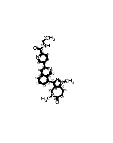 CCNC(=O)c1ccc(-c2cc3cccc(-c4nn(C)c5c4CN(C)C(=O)CC5)c3cn2)cn1